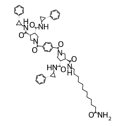 NC(=O)CCCCCCCCCCCNC(=O)[C@@H]1CN(C(=O)c2ccc(C(=O)N3C[C@@H](C(=O)N[C@H]4C[C@@H]4c4ccccc4)[C@H](C(=O)N[C@H]4C[C@@H]4c4ccccc4)C3)cc2)C[C@H]1C(=O)N[C@H]1C[C@@H]1c1ccccc1